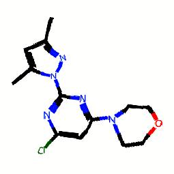 Cc1cc(C)n(-c2nc(Cl)cc(N3CCOCC3)n2)n1